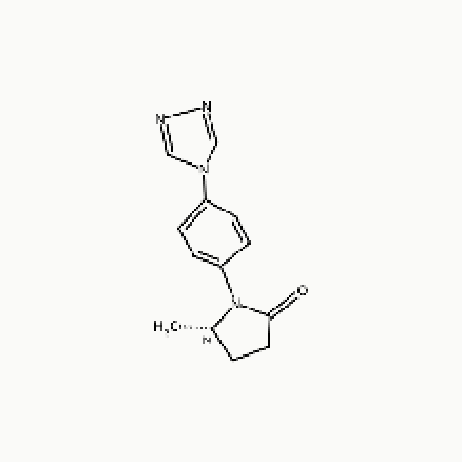 C[C@H]1CCC(=O)N1c1ccc(-n2cnnc2)cc1